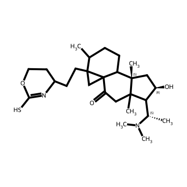 CC1CCC2C3(CC13CCC1CCOC(S)=N1)C(=O)CC1(C)C([C@H](C)N(C)C)[C@H](O)C[C@@]21C